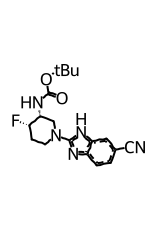 CC(C)(C)OC(=O)N[C@@H]1CN(c2nc3ccc(C#N)cc3[nH]2)CC[C@@H]1F